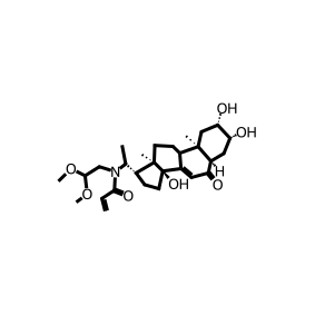 C=CC(=O)N(CC(OC)OC)C(C)[C@H]1CC[C@@]2(O)C3=CC(=O)[C@@H]4C[C@@H](O)[C@@H](O)C[C@]4(C)C3CC[C@]12C